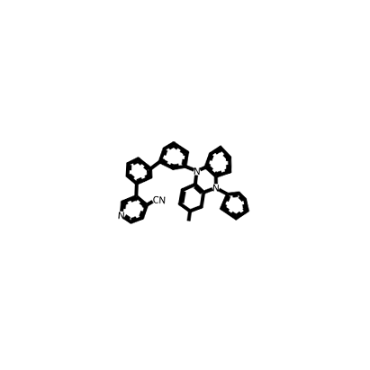 CC1C=CC2=C(C1)N(c1ccccc1)c1ccccc1N2c1cccc(-c2cccc(-c3cnccc3C#N)c2)c1